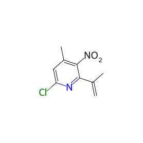 C=C(C)c1nc(Cl)cc(C)c1[N+](=O)[O-]